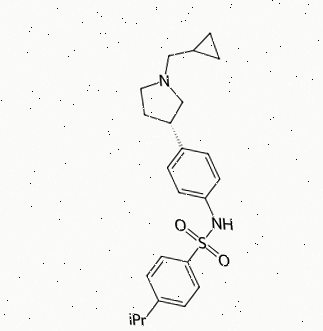 CC(C)c1ccc(S(=O)(=O)Nc2ccc([C@@H]3CCN(CC4CC4)C3)cc2)cc1